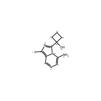 Nc1cncc2c(I)nc(C3(O)CCC3)n12